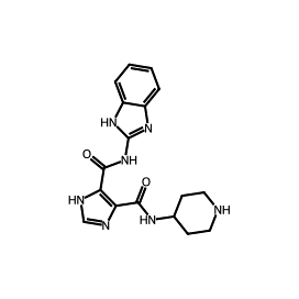 O=C(NC1CCNCC1)c1nc[nH]c1C(=O)Nc1nc2ccccc2[nH]1